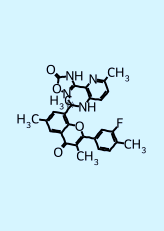 Cc1cc([C@@H](C)Nc2ccc(C)nc2-c2noc(=O)[nH]2)c2oc(-c3ccc(C)c(F)c3)c(C)c(=O)c2c1